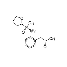 O=C(O)Cc1ccccc1NP(=O)(O)C1CCCO1